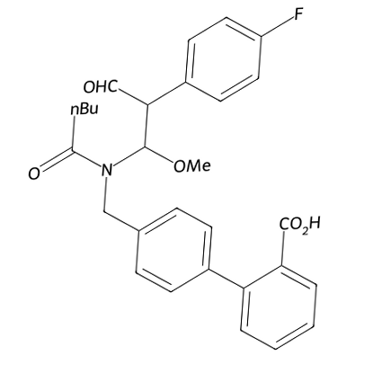 CCCCC(=O)N(Cc1ccc(-c2ccccc2C(=O)O)cc1)C(OC)C(C=O)c1ccc(F)cc1